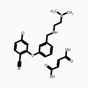 CN(C)CCNCc1cccc(Oc2cc(Cl)ccc2C#N)c1.O=C(O)C=CC(=O)O